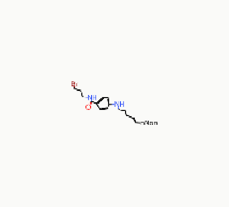 CCCCCCCCCC=CCCCNc1ccc(C(=O)NCCCBr)cc1